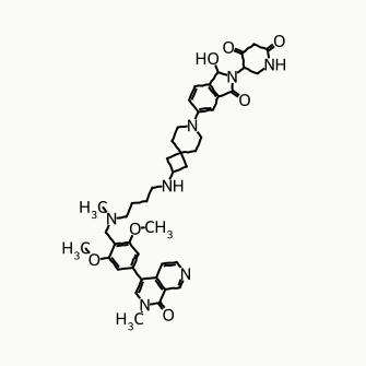 COc1cc(-c2cn(C)c(=O)c3cnccc23)cc(OC)c1CN(C)CCCCNC1CC2(CCN(c3ccc4c(c3)C(=O)N(C3CNC(=O)CC3=O)C4O)CC2)C1